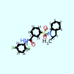 CC1Cc2ccccc2N1S(=O)(=O)c1cccc(C(=O)Nc2cc(F)ccc2F)c1